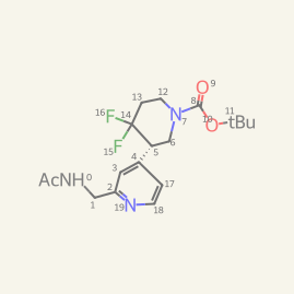 CC(=O)NCc1cc([C@H]2CN(C(=O)OC(C)(C)C)CCC2(F)F)ccn1